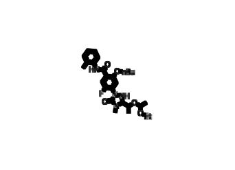 CCCCOc1cc(N2NC(C(C)OC(C)OCC)N(C)C2=O)c(F)cc1C(=O)Nc1ccccc1C